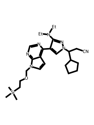 CCN(CC)c1nn(C(CC#N)C2CCCC2)cc1-c1ncnc2c1ccn2COCC[Si](C)(C)C